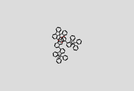 c1ccc([Si]2(c3ccccc3)c3ccccc3-c3c(-c4cccc5c(-c6cccc7c6C6(c8ccccc8-c8ccccc86)c6ccccc6-7)c6cccc(-c7cccc8c7-c7ccccc7[Si]8(c7ccccc7)c7ccccc7)c6cc45)cccc32)cc1